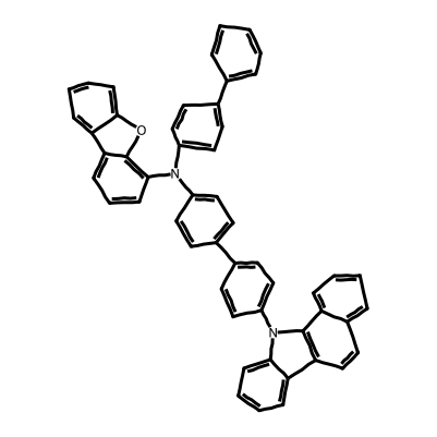 c1ccc(-c2ccc(N(c3ccc(-c4ccc(-n5c6ccccc6c6ccc7ccccc7c65)cc4)cc3)c3cccc4c3oc3ccccc34)cc2)cc1